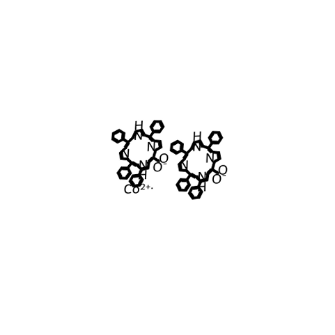 O=C([O-])c1c2nc(c(-c3ccccc3)c3ccc([nH]3)c(-c3ccccc3)c3nc(c(-c4ccccc4)c4[nH]c1cc4-c1ccccc1)C=C3)C=C2.O=C([O-])c1c2nc(c(-c3ccccc3)c3ccc([nH]3)c(-c3ccccc3)c3nc(c(-c4ccccc4)c4[nH]c1cc4-c1ccccc1)C=C3)C=C2.[Co+2]